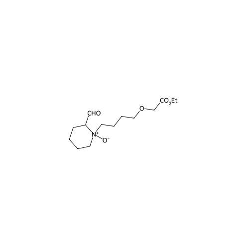 CCOC(=O)COCCCC[N+]1([O-])CCCCC1C=O